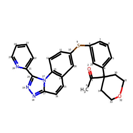 CC(=O)C1(c2cccc(Sc3ccc4c(ccc5nnc(-c6ccccn6)n54)c3)c2)CCOCC1